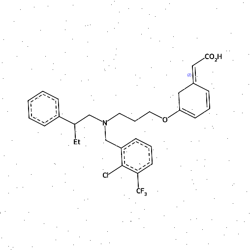 CCC(CN(CCCOC1=CC=C/C(=C\C(=O)O)C1)Cc1cccc(C(F)(F)F)c1Cl)c1ccccc1